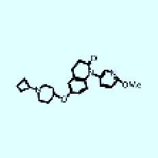 COc1ccc(N2C(=O)CCc3cc(OC4CCN(C5CCC5)CC4)ccc32)cn1